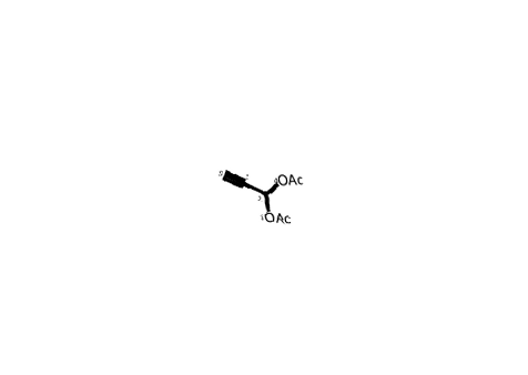 C#CC(OC(C)=O)OC(C)=O